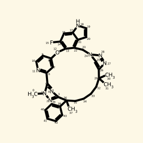 Cn1nc2nc1-c1cc(ccn1)Oc1c(F)cc3[nH]ccc3c1Cn1cc(nn1)C(C)(C)CCCCC2(C)c1ccccc1